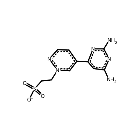 Nc1cc(-c2ccn[n+](CCS(=O)(=O)[O-])c2)nc(N)n1